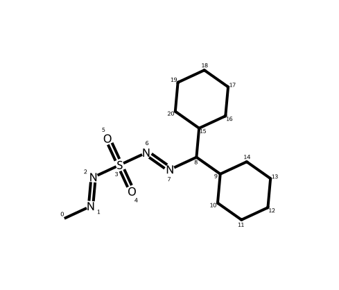 CN=NS(=O)(=O)N=NC(C1CCCCC1)C1CCCCC1